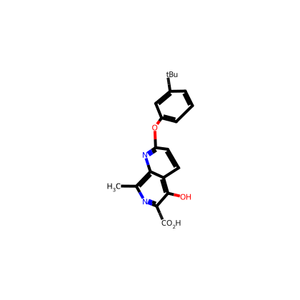 Cc1nc(C(=O)O)c(O)c2ccc(Oc3cccc(C(C)(C)C)c3)nc12